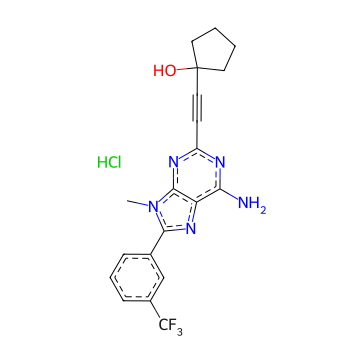 Cl.Cn1c(-c2cccc(C(F)(F)F)c2)nc2c(N)nc(C#CC3(O)CCCC3)nc21